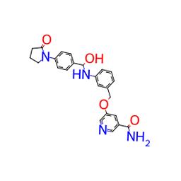 NC(=O)c1cncc(OCc2cccc(NC(O)c3ccc(N4CCCC4=O)cc3)c2)c1